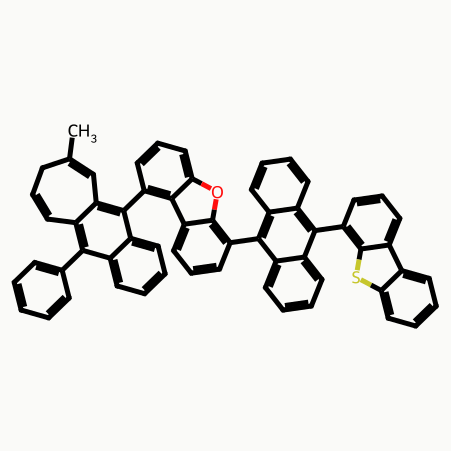 CC1=Cc2c(c(-c3ccccc3)c3ccccc3c2-c2cccc3oc4c(-c5c6ccccc6c(-c6cccc7c6sc6ccccc67)c6ccccc56)cccc4c23)C=CC1